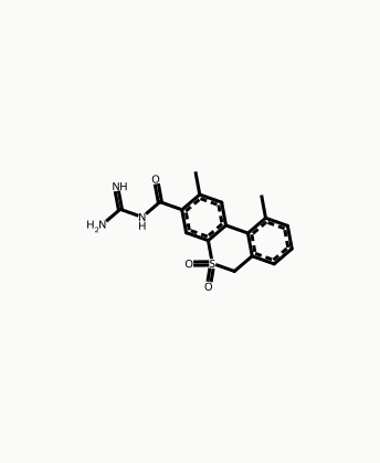 Cc1cc2c(cc1C(=O)NC(=N)N)S(=O)(=O)Cc1cccc(C)c1-2